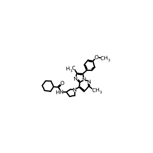 COc1ccc(-c2c(C)nc3c(N4CCC(NC(=O)C5CCCCC5)C4)cc(C)nn23)cc1